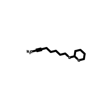 CC#CCCCCCOC1CCCCO1